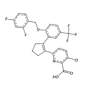 O=C(O)c1nc(C2=C(c3cc(C(F)(F)F)ccc3OCc3ccc(F)cc3F)CCC2)ccc1Cl